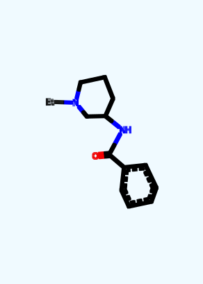 CCN1CCCC(NC(=O)c2ccccc2)C1